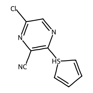 N#Cc1nc(Cl)cnc1[SH]1C=CC=C1